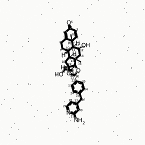 C[C@]12C=CC(=O)C=C1CC[C@@H]1[C@@H]2[C@@H](O)C[C@@]2(C)[C@H]1C[C@H]1O[C@@H](c3ccc(Cc4ccnc(N)c4)cc3)O[C@]12C(=O)CO